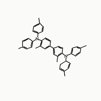 CC1=CCC(N(c2ccc(C)cc2)c2ccc(-c3ccc(N(c4ccc(C)cc4)c4ccc(C)cc4)c(C)c3)cc2C)C=C1